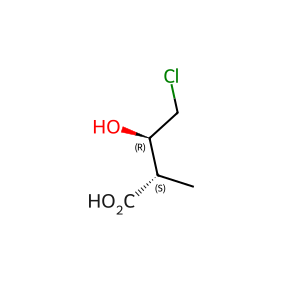 C[C@H](C(=O)O)[C@@H](O)CCl